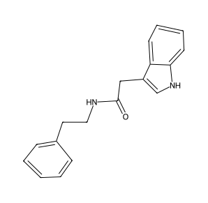 O=C(Cc1c[nH]c2ccccc12)NCCc1ccccc1